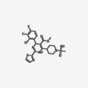 COC(=O)C1=C(C2CCN(S(C)(=N)=O)CC2)NC(c2nccs2)=NC1c1ccc(F)c(F)c1Cl